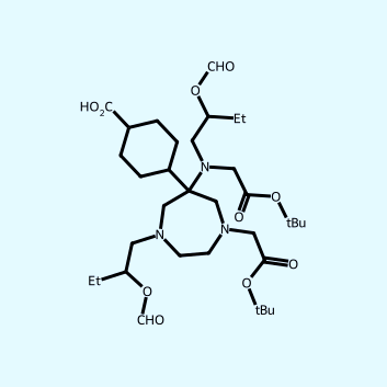 CCC(CN1CCN(CC(=O)OC(C)(C)C)CC(C2CCC(C(=O)O)CC2)(N(CC(=O)OC(C)(C)C)CC(CC)OC=O)C1)OC=O